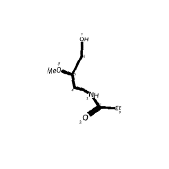 CCC(=O)NCC(CO)OC